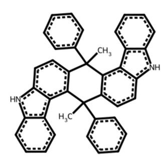 CC1(c2ccccc2)c2ccc3[nH]c4ccccc4c3c2C(C)(c2ccccc2)c2ccc3[nH]c4ccccc4c3c21